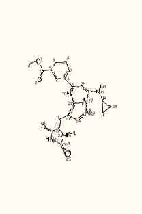 COC(=O)c1cccc(-c2cc(N(C)C3CC3)n3ncc(/C=C4\NC(=O)NC4=O)c3n2)c1